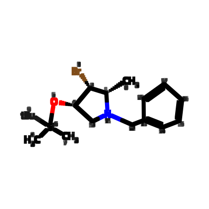 C[C@H]1[C@@H](Br)[C@@H](O[Si](C)(C)C(C)(C)C)CN1Cc1ccccc1